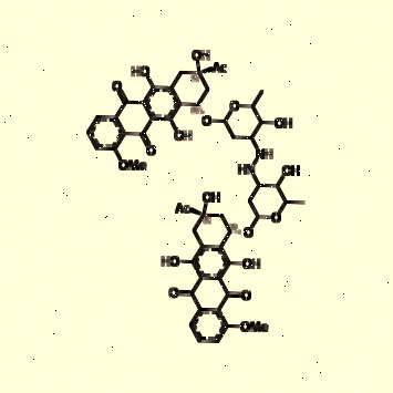 COc1cccc2c1C(=O)c1c(O)c3c(c(O)c1C2=O)C[C@@](O)(C(C)=O)C[C@@H]3OC1CC(NNC2CC(O[C@H]3C[C@](O)(C(C)=O)Cc4c(O)c5c(c(O)c43)C(=O)c3c(OC)cccc3C5=O)OC(C)C2O)C(O)C(C)O1